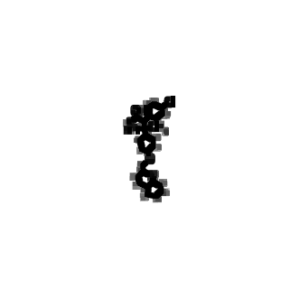 CCCC(C)(c1ccc(OCc2ccc3ccccc3n2)cc1)C(C(O)=S)c1ccc(Cl)cc1